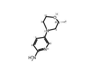 C[C@@H]1CN(c2ccc(N)nc2)CCO1